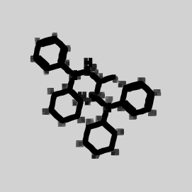 CC([SiH2]N(c1ccccc1)C1CCCCC1)[SiH2]N(c1ccccc1)C1CCCCC1